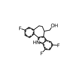 OCC1CCc2cc(F)ccc2-c2[nH]c3c(F)cc(F)cc3c21